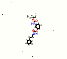 CC(CCl)OC(=O)Nc1cccc(OC(=O)NCCCc2ccccc2)c1